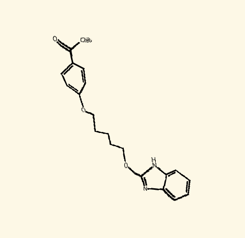 CC(C)COC(=O)c1ccc(OCCCCCOc2nc3ccccc3[nH]2)cc1